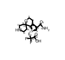 NC(=O)c1csc2c1CCOC21CCNCC1.O=C(O)C(F)(F)F